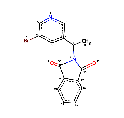 CC(c1cncc(Br)c1)N1C(=O)c2ccccc2C1=O